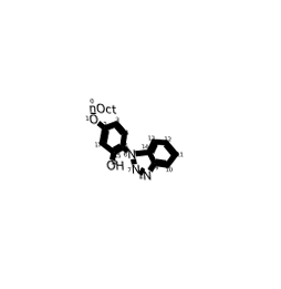 CCCCCCCCOc1ccc(-n2nnc3ccccc32)c(O)c1